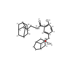 CNC1C2CCC1CN(Cc1ccc(Cl)c(C(=O)NCC34CC5CC(CC(C5)C3)C4)c1)C2